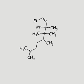 CC/C=C\C(C)(C(C)C)C(C)(C)C(C)CCN(C)C